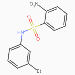 CCc1cccc(NS(=O)(=O)c2ccccc2[N+](=O)[O-])c1